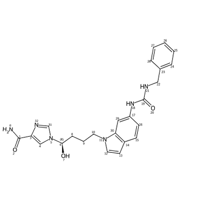 NC(=O)c1cn([C@H](O)CCCn2ccc3ccc(NC(=O)NCc4ccccc4)cc32)cn1